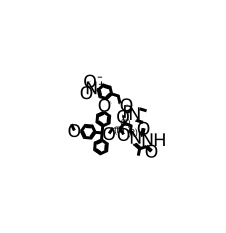 CCN(CC)P(OCCc1ccc([N+](=O)[O-])cc1)O[C@H]1C[C@H](n2cc(C)c(=O)[nH]c2=O)O[C@@H]1COC(c1ccccc1)(c1ccc(OC)cc1)c1ccc(OC)cc1